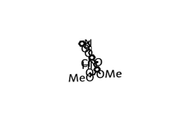 COC(=O)Cc1cc(NC(=O)c2ccc(OC[C@@H]3CN(C)c4ccccc4O3)cc2Cl)ccc1OC